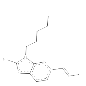 C/C=C/c1ccc2nc(O)n(CCCCC)c2n1